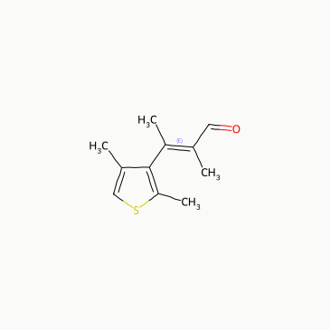 C/C(C=O)=C(/C)c1c(C)csc1C